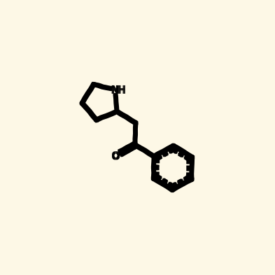 O=C(CC1CCCN1)c1ccccc1